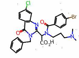 CN(C)CCCN(C(=O)c1ccc(Br)cc1)C(C(=O)O)c1nc2cc(Cl)ccc2c(=O)n1Cc1ccccc1